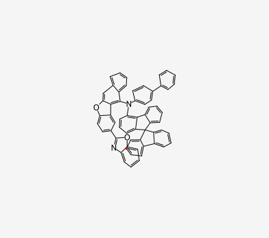 c1ccc(-c2ccc(N(c3cccc4c3-c3ccccc3C43c4ccccc4-c4ccccc43)c3c4ccccc4cc4oc5ccc(-c6nc7ccccc7o6)cc5c34)cc2)cc1